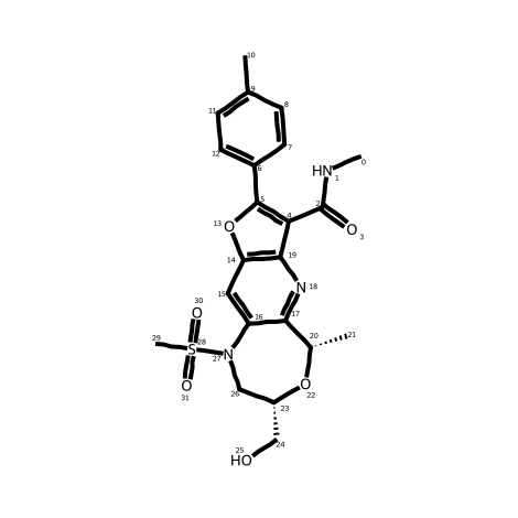 CNC(=O)c1c(-c2ccc(C)cc2)oc2cc3c(nc12)[C@H](C)O[C@H](CO)CN3S(C)(=O)=O